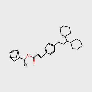 CCC(OC(=O)C=Cc1ccc(CCC(C2CCCCC2)C2CCCCC2)cc1)C1CC2C=CC1C2